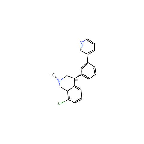 CN1Cc2c(Cl)cccc2[C@H](c2cccc(-c3cccnc3)c2)C1